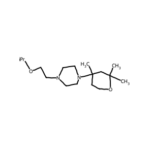 CC(C)OCCN1CCN(C2(C)CCOC(C)(C)C2)CC1